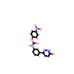 O=C(Nc1cccc(-c2ccc(=O)[nH]n2)c1)Oc1ccc([N+](=O)[O-])cc1